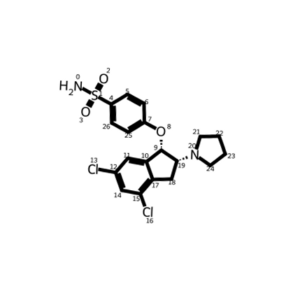 NS(=O)(=O)c1ccc(O[C@H]2c3cc(Cl)cc(Cl)c3C[C@H]2N2CCCC2)cc1